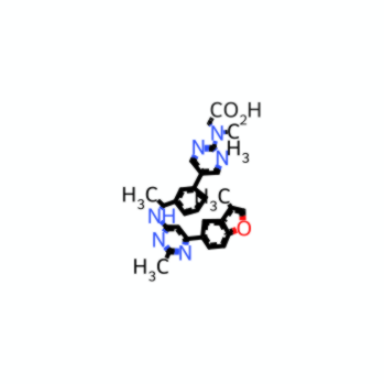 Cc1nc(NC(C)c2cccc(-c3cnc(N(C)CC(=O)O)nc3)c2)cc(-c2ccc3occ(C)c3c2)n1